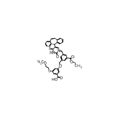 CCOC(=O)c1cc(COc2cc(OCCOC)cc(C(=O)O)c2)cc(Cn2cc(C3c4ccccc4C=Cc4ccccc43)c(=S)[nH]c2=O)c1